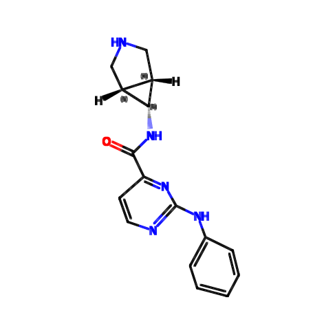 O=C(N[C@@H]1[C@@H]2CNC[C@@H]21)c1ccnc(Nc2ccccc2)n1